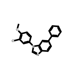 COc1ccc(-n2cnc3ccc(-c4ccccc4)cc32)cc1Cl